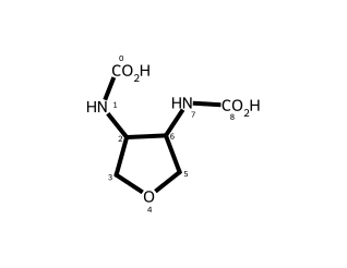 O=C(O)NC1COCC1NC(=O)O